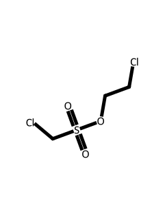 O=S(=O)(CCl)OCCCl